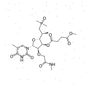 CNC(=O)CO[C@@H]1[C@H](OC(=O)CCC(=O)OC)[C@@H]([C@H](C)CP(C)(C)=O)O[C@H]1n1cc(C)c(=O)[nH]c1=O